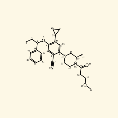 CCC(Oc1cc(C#N)c(N2CCN(C(=O)CCOC)[C@H](C)C2)nc1C1CC1)c1ccccc1